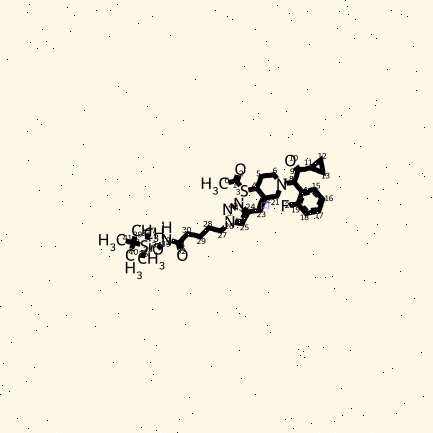 CC(=O)SC1CCN(C(C(=O)C2CC2)c2ccccc2F)C/C1=C/c1cn(CCCCC(=O)NO[Si](C)(C)C(C)(C)C)nn1